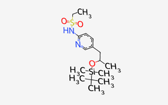 CCS(=O)(=O)Nc1ccc(CC(C)O[Si](C)(C)C(C)(C)C)cn1